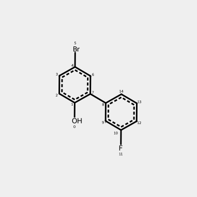 Oc1ccc(Br)cc1-c1[c]c(F)ccc1